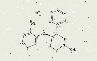 CN1CC[C@@H](Oc2ccccc2[N+](=O)[O-])[C@H](c2ccccc2)C1.Cl